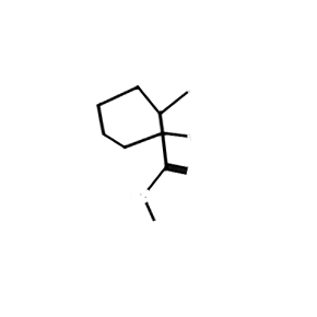 CCNC(=O)C1(CC)CCCCC1CC